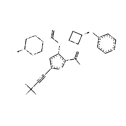 CC(C)(C)C#Cc1cc(N(C(=O)[C@H]2CC[C@H](C)CC2)[C@H]2C[C@H](Oc3ccccc3)C2)c(C(=O)O)s1